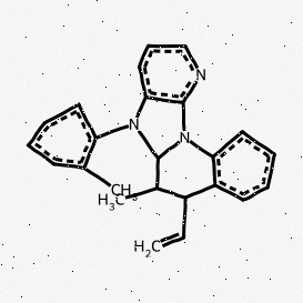 C=CC1c2ccccc2N2c3ncccc3N(c3ccccc3C)C2C1C